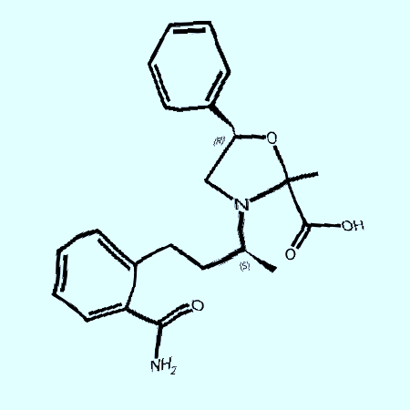 C[C@@H](CCc1ccccc1C(N)=O)N1C[C@@H](c2ccccc2)OC1(C)C(=O)O